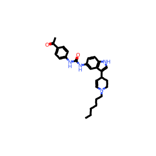 CCCCCCN1C=CC(c2c[nH]c3ccc(NC(=O)Nc4ccc(C(C)=O)cc4)cc23)CC1